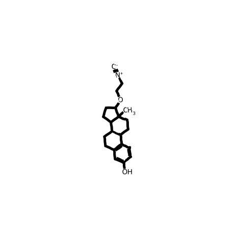 [C-]#[N+]CCOC1CCC2C3CCc4cc(O)ccc4C3CCC12C